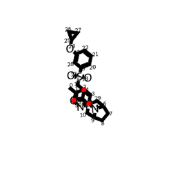 Cc1ccc(N2C3CCC2CN(C(=O)CCS(=O)(=O)c2cccc(OC4CC4)c2)C3)nc1